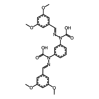 COc1cc(C=NN(C(=O)O)c2cccc(N(N=Cc3cc(OC)cc(OC)c3)C(=O)O)c2)cc(OC)c1